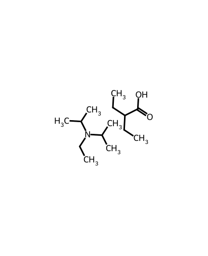 CCC(CC)C(=O)O.CCN(C(C)C)C(C)C